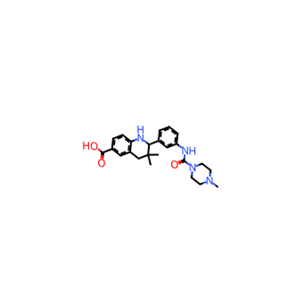 CN1CCN(C(=O)Nc2cccc(C3Nc4ccc(C(=O)O)cc4CC3(C)C)c2)CC1